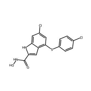 O=C(NO)c1cc2c(Sc3ccc(Cl)cc3)cc(Cl)cc2[nH]1